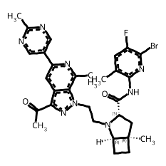 CC(=O)c1nn(CCN2[C@H](C(=O)Nc3nc(Br)c(F)cc3C)C[C@@]3(C)CC[C@@H]23)c2c(C)nc(-c3cnc(C)nc3)cc12